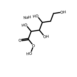 O=C(OO)C(O)C(O)C(O)CCO.[NaH]